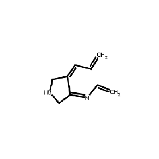 C=C/C=C1/CBC/C1=N/C=C